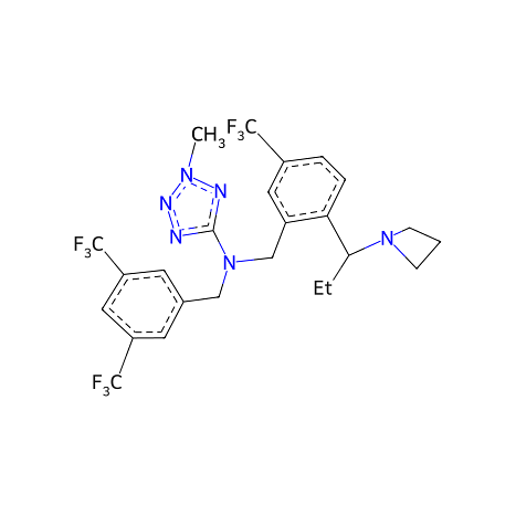 CCC(c1ccc(C(F)(F)F)cc1CN(Cc1cc(C(F)(F)F)cc(C(F)(F)F)c1)c1nnn(C)n1)N1CCC1